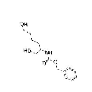 O=C(NC(CO)CCCCO)OCc1ccccc1